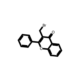 O=c1c(CBr)c(-c2ccccc2)oc2ccccc12